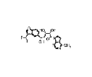 Cc1ncnc2c1ccn2[C@@H]1O[C@H]([C@H](O)c2ccc3occ(C(F)F)c3c2)[C@@H](O)[C@H]1O